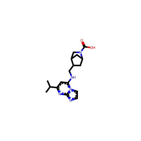 CC(C)c1cc(NCC2CC3CC2CN3C(=O)O)n2ccnc2n1